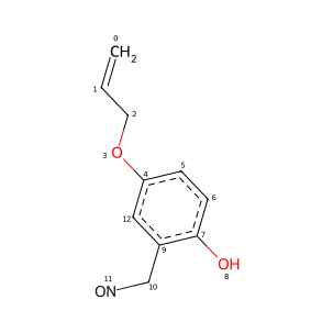 C=CCOc1ccc(O)c(CN=O)c1